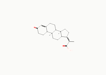 CC(C(=O)O)=C1CC[C@H]2[C@@H]3CCC4=CC(=O)CC[C@]4(C)[C@H]3CC[C@]12C